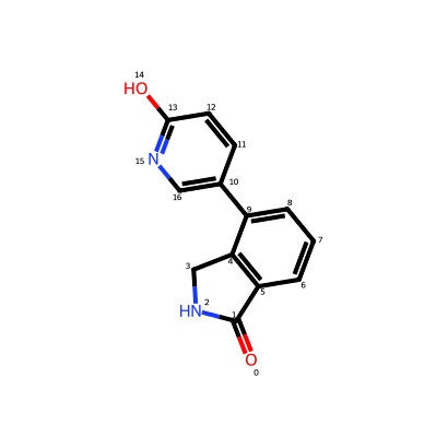 O=C1NCc2c1cccc2-c1ccc(O)nc1